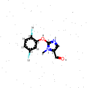 Cn1c(C=O)cnc1Oc1cc(F)ccc1F